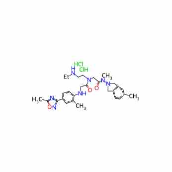 CCNCCN(CC(=O)N(C)N1Cc2ccc(C)cc2C1)C(=O)CNc1ccc(-c2noc(C)n2)cc1C.Cl.Cl